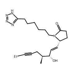 CCC#CC[C@H](C)[C@@H](O)C=C[C@H]1CCC(=O)N1CCCCCCc1nnn[nH]1